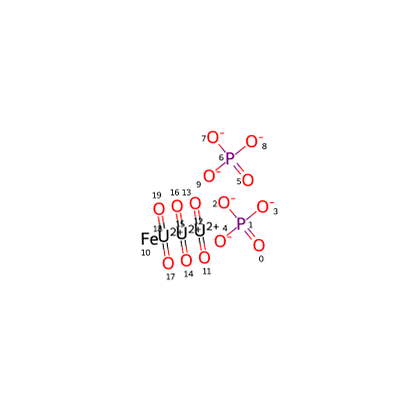 O=P([O-])([O-])[O-].O=P([O-])([O-])[O-].[Fe].[O]=[U+2]=[O].[O]=[U+2]=[O].[O]=[U+2]=[O]